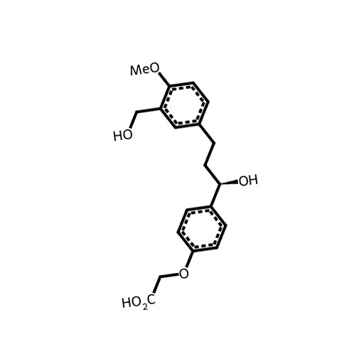 COc1ccc(CC[C@@H](O)c2ccc(OCC(=O)O)cc2)cc1CO